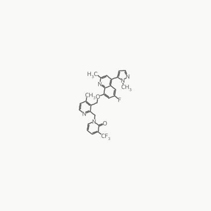 Cc1cc(-c2ccnn2C)c2cc(F)cc(OCc3c(C)ccnc3Cn3cccc(C(F)(F)F)c3=O)c2n1